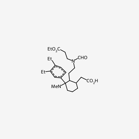 CCOC(=O)CCN(C=O)CCC1C(CC(=O)O)CCCC1(NC)c1ccc(CC)c(CC)c1